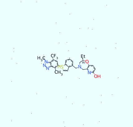 CC[C@@H]1CN(Cc2c[c]cc3c2C=C[SH]3c2cc(C(F)(F)F)c3c(nnn3C)c2C)Cc2nc(O)ccc2O1